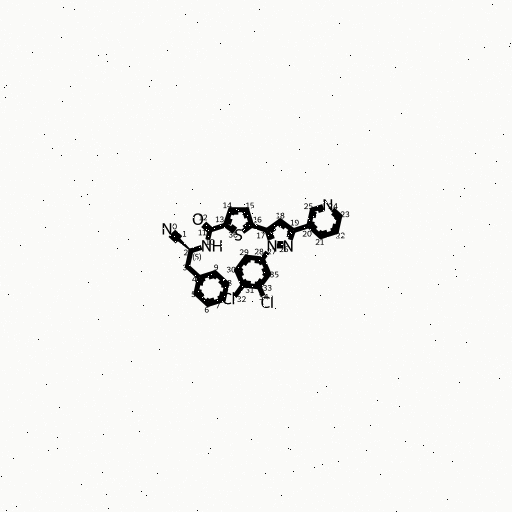 N#C[C@H](Cc1ccccc1)NC(=O)c1ccc(-c2cc(-c3cccnc3)nn2-c2ccc(Cl)c(Cl)c2)s1